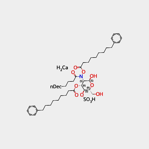 CCCCCCCCCCCCCC(=O)N(OC(=O)CCCCCCCCc1ccccc1)[C@H]1[C@@H](OC(=O)CCCCCCCCc2ccccc2)[C@H](OS(=O)(=O)O)[C@@H](CO)O[C@@H]1O.[CaH2]